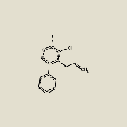 C=CCc1c(-c2ccccc2)ccc(Cl)c1Cl